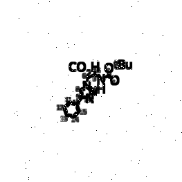 CC(C)(C)OC(=O)NC(Cn1cc(-c2ccccc2)nn1)C(=O)O